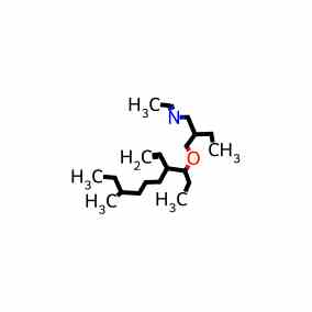 C=CC(CCCC(C)CC)C(CC)OCC(CC)C/N=C/C